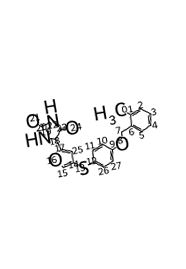 Cc1ccccc1COc1ccc(Sc2coc(C3NC(=O)NC3=O)c2)cc1